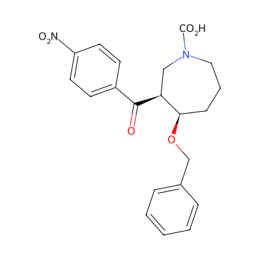 O=C(c1ccc([N+](=O)[O-])cc1)[C@H]1CN(C(=O)O)CCC[C@H]1OCc1ccccc1